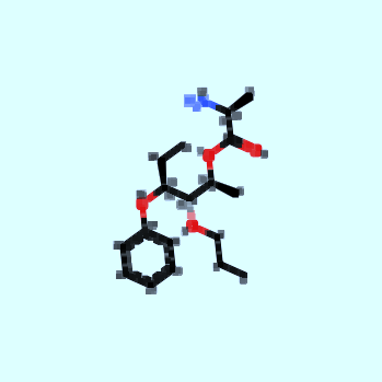 CCCO[C@@H]([C@H](C)OC(=O)[C@H](C)N)[C@H](CC)Oc1ccccc1